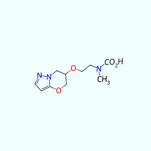 CN(CCOC1COc2ccnn2C1)C(=O)O